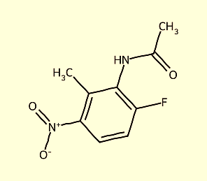 CC(=O)Nc1c(F)ccc([N+](=O)[O-])c1C